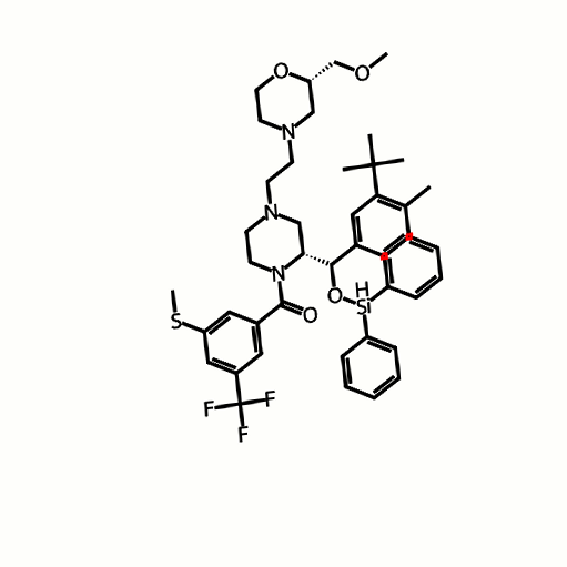 COC[C@@H]1CN(CCN2CCN(C(=O)c3cc(SC)cc(C(F)(F)F)c3)[C@@H](C(O[SiH](c3ccccc3)c3ccccc3)c3ccc(C)c(C(C)(C)C)c3)C2)CCO1